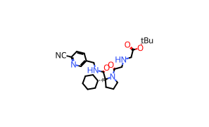 CC(C)(C)OC(=O)CNCC(=O)N1CCC[C@]1(C(=O)NCc1ccc(C#N)nc1)C1CCCCC1